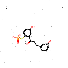 O=C(CCc1cccc(O)c1)c1cc(O)ccc1SP(=O)(O)O